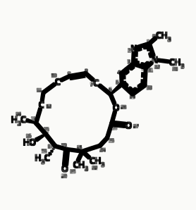 Cc1nc2cc([C@@H]3C/C=C\CCC[C@H](C)[C@H](O)[C@@H](C)C(=O)C(C)(C)CCC(=O)O3)ccc2n1C